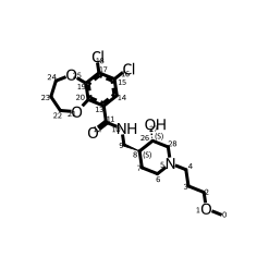 COCCCN1CC[C@@H](CNC(=O)c2cc(Cl)c(Cl)c3c2OCCCO3)[C@H](O)C1